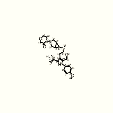 COc1ccc(-n2nc(C(N)=O)c(CCN(C)C3C4CN(N5CCOCC5=O)CC43)c2C=O)cc1